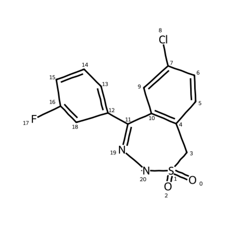 O=S1(=O)Cc2ccc(Cl)cc2C(c2cccc(F)c2)=N[N]1